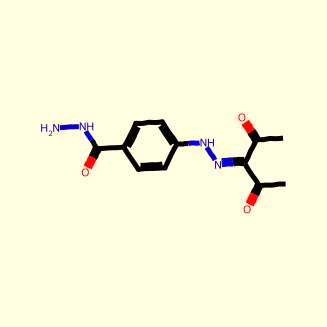 CC(=O)C(=NNc1ccc(C(=O)NN)cc1)C(C)=O